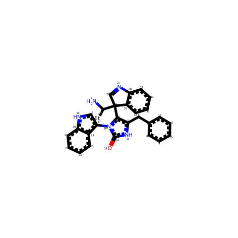 CCC(N)C1(c2c(Cc3ccccc3)[nH]c(=O)n2-c2c[nH]c3ccccc23)C=Nc2ccccc21